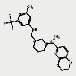 Cc1cc(NC[C@@H]2CCCN([C@H](C)c3ccc4c(n3)OCCO4)C2)cc(C(F)(F)F)n1